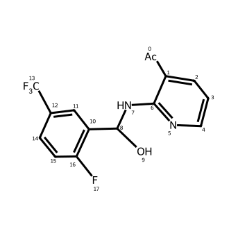 CC(=O)c1cccnc1NC(O)c1cc(C(F)(F)F)ccc1F